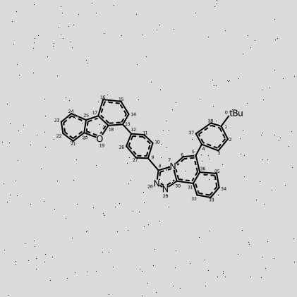 CC(C)(C)c1ccc(-c2cn3c(-c4ccc(-c5cccc6c5oc5ccccc56)cc4)nnc3c3ccccc23)cc1